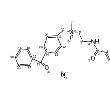 C=CC(=O)NCC[N+](C)(C)Cc1ccc(C(=O)c2ccccc2)cc1.[Br-]